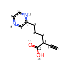 C#CC(CCCc1cnccn1)C(=O)O